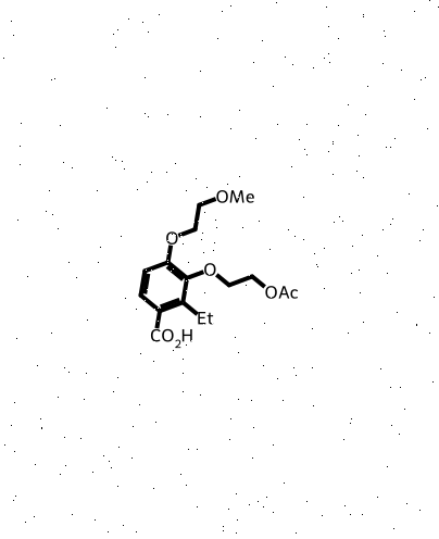 CCc1c(C(=O)O)ccc(OCCOC)c1OCCOC(C)=O